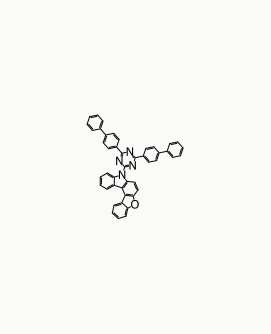 c1ccc(-c2ccc(-c3nc(-c4ccc(-c5ccccc5)cc4)nc(-n4c5ccccc5c5c6c(ccc54)oc4ccccc46)n3)cc2)cc1